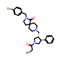 CC(C)CC(=O)N1C[C@H](CN2CCC3(CC2)CCN(Cc2ccc(Br)cc2)C3=O)[C@@H](c2ccccc2)C1